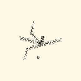 CCCCCCCC/C=C\CCCCCCCCOC(CCCCCCCCCCCCCCCC)C(CCCCCCCCCCCCCCCC)(C[N+](C)(C)CCO)OCCCCCCCC/C=C\CCCCCCCC.[Br-]